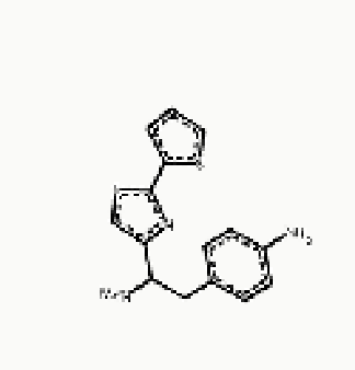 CNC(Cc1ccc(N)cc1)c1csc(-c2cccs2)n1